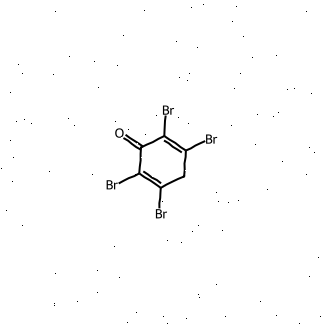 O=C1C(Br)=C(Br)CC(Br)=C1Br